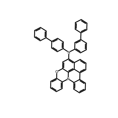 c1ccc(-c2ccc(N(c3cccc(-c4ccccc4)c3)c3cc4oc5ccccc5n5c6ccccc6c6cccc3c6c4-5)cc2)cc1